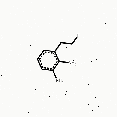 Nc1cccc(CCF)c1N